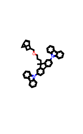 CC1(CCCOCC2CC34CC3C=CC24)c2cc(-n3c4ccccc4c4ccccc43)ccc2-c2ccc(-n3c4ccccc4c4ccccc43)cc21